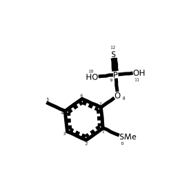 CSc1ccc(C)cc1OP(O)(O)=S